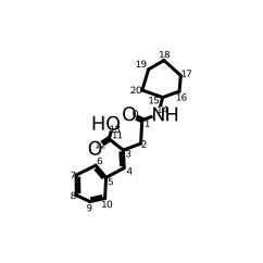 O=C(C/C(=C/c1ccccc1)C(=O)O)NC1CCCCC1